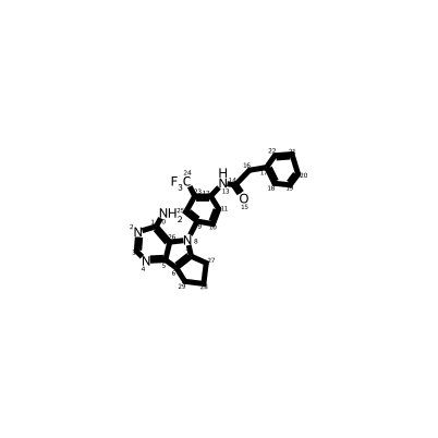 Nc1ncnc2c3c(n(-c4ccc(NC(=O)Cc5ccccc5)c(C(F)(F)F)c4)c12)CCC3